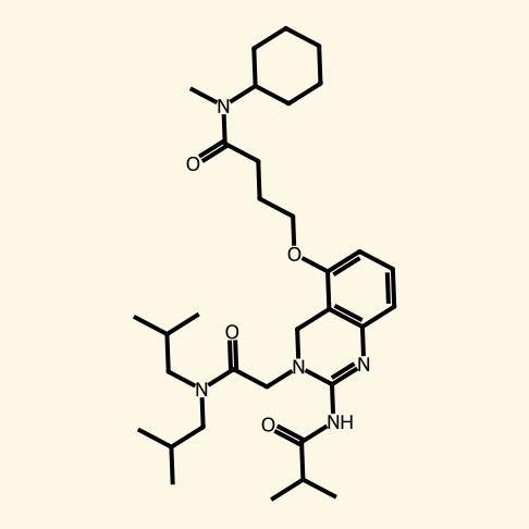 CC(C)CN(CC(C)C)C(=O)CN1Cc2c(cccc2OCCCC(=O)N(C)C2CCCCC2)N=C1NC(=O)C(C)C